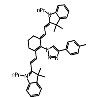 CCCN1/C(=C/C=C2\CCCC(/C=C/C3=[N+](CCC)c4ccccc4C3(C)C)=C2n2cc(-c3ccc(C)cc3)nn2)C(C)(C)c2ccccc21